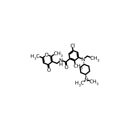 CCN(c1cc(Cl)cc(C(=O)NCc2c(C)oc(C)cc2=O)c1C)[C@H]1CC[C@H](N(C)C)CC1